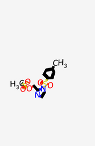 Cc1ccc(S(=O)(=O)n2ccnc2COS(C)(=O)=O)cc1